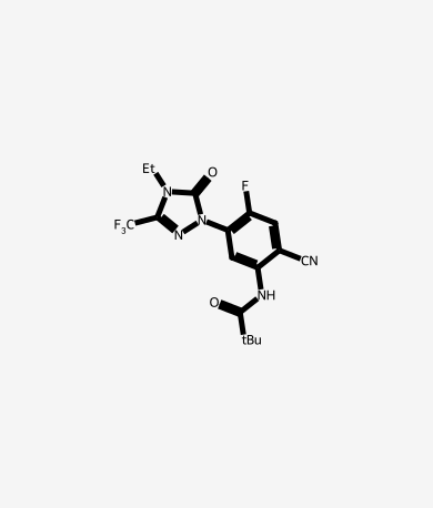 CCn1c(C(F)(F)F)nn(-c2cc(NC(=O)C(C)(C)C)c(C#N)cc2F)c1=O